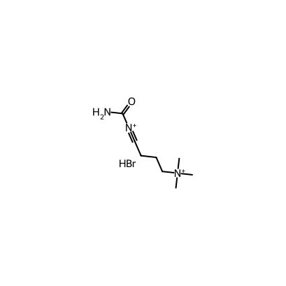 Br.C[N+](C)(C)CCCC#[N+]C(N)=O